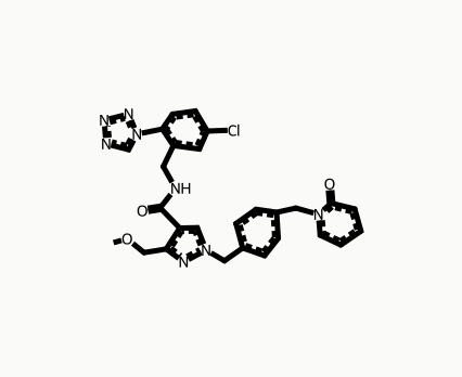 COCc1nn(Cc2ccc(Cn3ccccc3=O)cc2)cc1C(=O)NCc1cc(Cl)ccc1-n1cnnn1